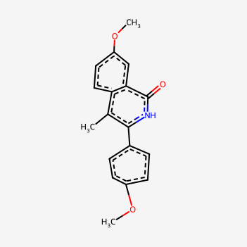 COc1ccc(-c2[nH]c(=O)c3cc(OC)ccc3c2C)cc1